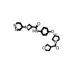 O=C(Nc1ccc(O[C@@H]2CCN(C(=O)C3CCOC3)C2)cc1)C1CN(c2ccnnc2)C1